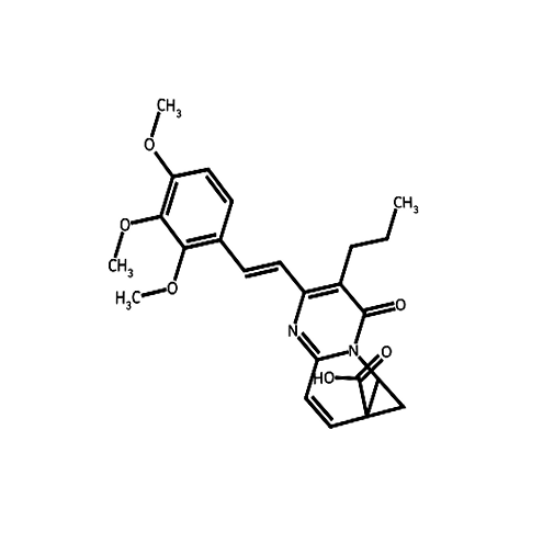 CCCc1c(/C=C/c2ccc(OC)c(OC)c2OC)nc2n(c1=O)C1CC1(C(=O)O)C=C2